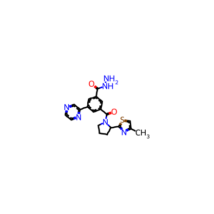 Cc1csc(C2CCCN2C(=O)c2cc(C(=O)NN)cc(-c3cnccn3)c2)n1